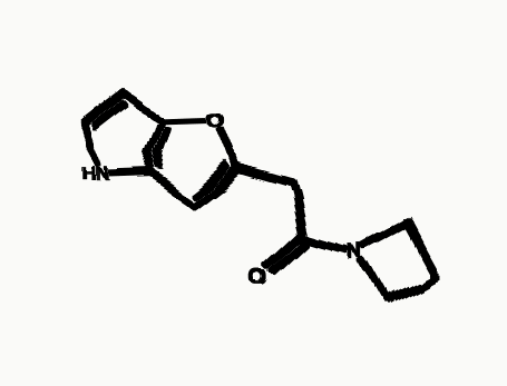 O=C(Cc1cc2[nH]ccc2o1)N1CCC1